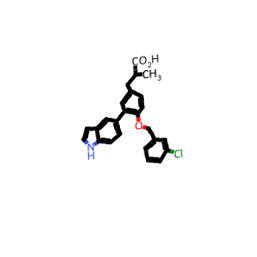 CC(Cc1ccc(OCc2cccc(Cl)c2)c(-c2ccc3[nH]ccc3c2)c1)C(=O)O